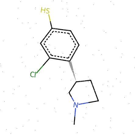 CN1CC[C@@H](c2ccc(S)cc2Cl)C1